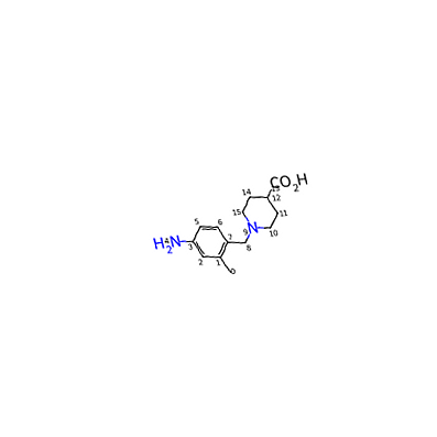 Cc1cc(N)ccc1CN1CCC(C(=O)O)CC1